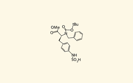 COC(=O)[C@H](Cc1ccc(NS(=O)(=O)O)cc1)N(Cc1ccccc1)C(=O)OC(C)(C)C